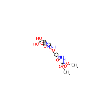 C=CCOC(=O)N[C@@H](CCC(=O)Nc1ccc(COC(=O)Nc2ccn([C@@H]3CC4C(O)[C@@H](CO)O[C@H]43)c(=O)n2)cc1)C(=O)OCC=C